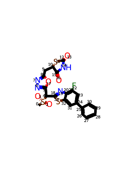 CS(=O)(=O)C(c1nnc(CC2SC(=O)NC2=O)o1)c1nc2c(F)cc(-c3ccccc3)cc2s1